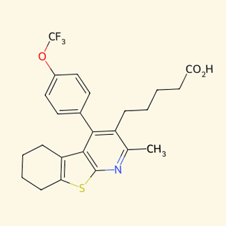 Cc1nc2sc3c(c2c(-c2ccc(OC(F)(F)F)cc2)c1CCCCC(=O)O)CCCC3